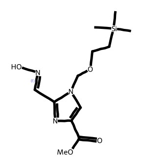 COC(=O)c1cn(COCC[Si](C)(C)C)c(/C=N/O)n1